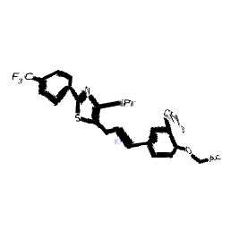 CC(=O)COc1ccc(/C=C/Cc2sc(-c3ccc(C(F)(F)F)cc3)nc2C(C)C)cc1C